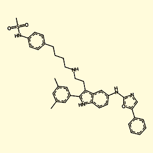 Cc1cc(C)cc(-c2[nH]c3ccc(Nc4ncc(-c5ccccc5)o4)cc3c2CCNCCCCc2ccc(NS(C)(=O)=O)cc2)c1